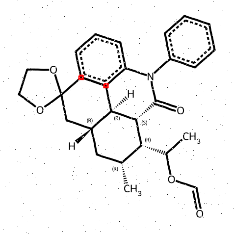 CC(OC=O)[C@H]1[C@@H](C(=O)N(c2ccccc2)c2ccccc2)[C@@H]2CCC3(C[C@H]2C[C@H]1C)OCCO3